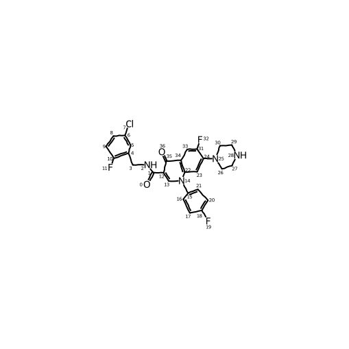 O=C(NCc1cc(Cl)ccc1F)c1cn(-c2ccc(F)cc2)c2cc(N3CCNCC3)c(F)cc2c1=O